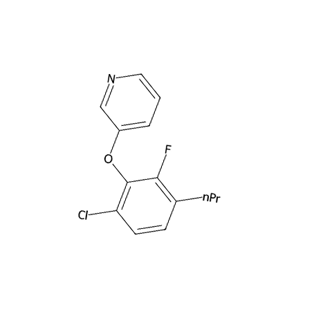 CCCc1ccc(Cl)c(Oc2cccnc2)c1F